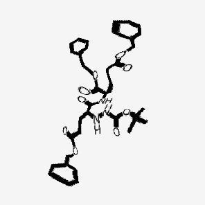 CC(C)(C)OC(=O)NNC(CCC(=O)OCc1ccccc1)C(=O)NC(CCC(=O)OCc1ccccc1)C(=O)OCc1ccccc1